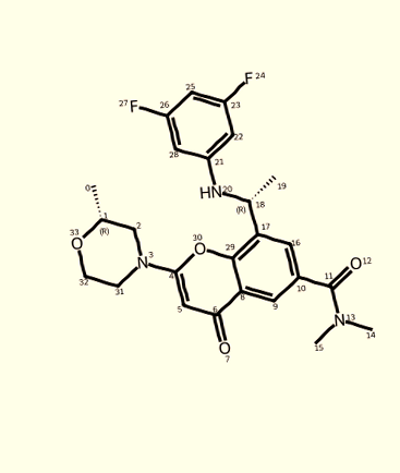 C[C@@H]1CN(c2cc(=O)c3cc(C(=O)N(C)C)cc([C@@H](C)Nc4cc(F)cc(F)c4)c3o2)CCO1